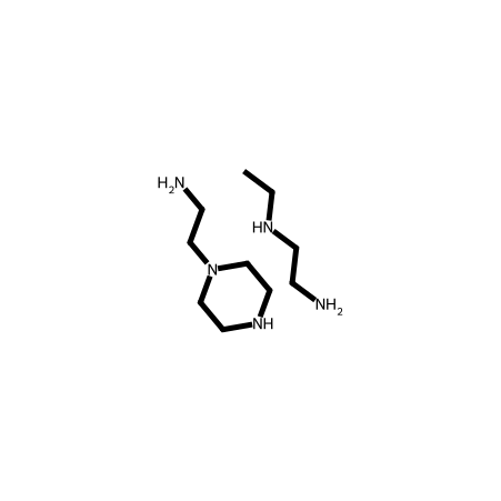 CCNCCN.NCCN1CCNCC1